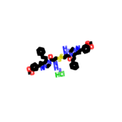 Cl.N[C@@H](CSSC[C@H](N)C(=O)N1CCn2nc(-c3ccc4c(c3)OCO4)cc2C1CCc1ccccc1)C(=O)N1CCn2nc(-c3ccc4c(c3)OCO4)cc2C1CCc1ccccc1